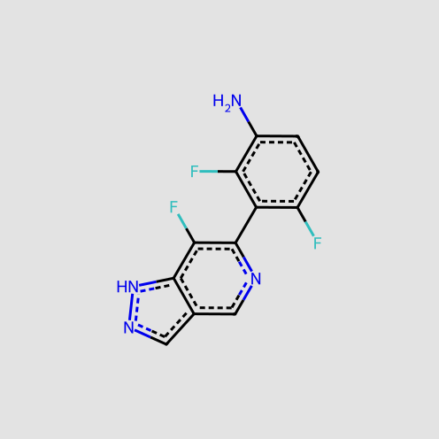 Nc1ccc(F)c(-c2ncc3cn[nH]c3c2F)c1F